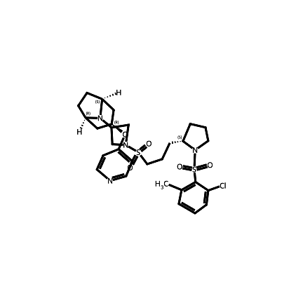 Cc1cccc(Cl)c1S(=O)(=O)N1CCC[C@H]1CCCS(=O)(=O)N1CC(N2[C@@H]3CC[C@H]2C[C@@H](Oc2ccncc2)C3)C1